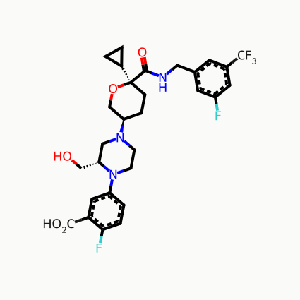 O=C(O)c1cc(N2CCN([C@@H]3CC[C@@](C(=O)NCc4cc(F)cc(C(F)(F)F)c4)(C4CC4)OC3)C[C@H]2CO)ccc1F